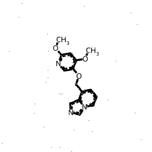 COc1cc(OC)c(OCc2cccn3cncc23)cn1